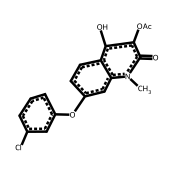 CC(=O)Oc1c(O)c2ccc(Oc3cccc(Cl)c3)cc2n(C)c1=O